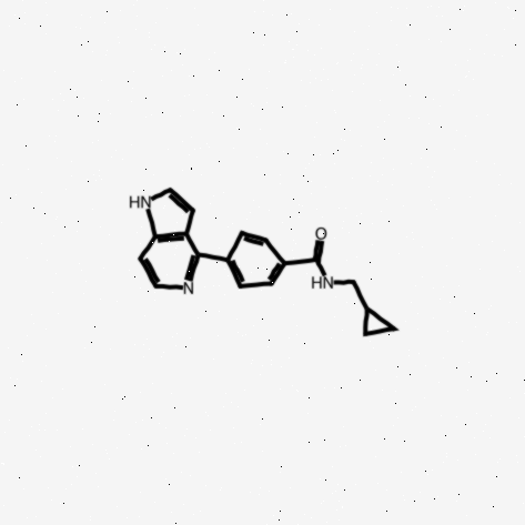 O=C(NCC1CC1)c1ccc(-c2nccc3[nH]ccc23)cc1